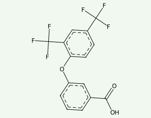 O=C(O)c1cccc(Oc2ccc(C(F)(F)F)cc2C(F)(F)F)c1